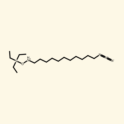 CC[Si](CC)(CC)O[SiH2]CCCCCCCCCCCN=[N+]=[N-]